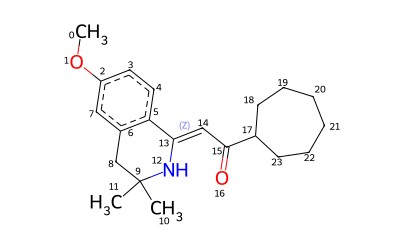 COc1ccc2c(c1)CC(C)(C)N/C2=C\C(=O)C1CCCCCC1